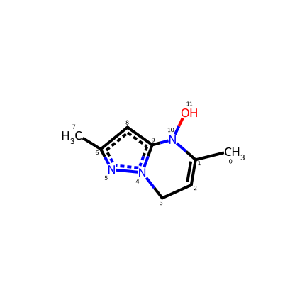 CC1=CCn2nc(C)cc2N1O